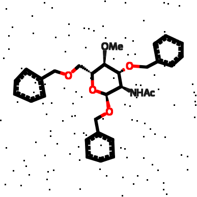 CO[C@H]1[C@H](OCc2ccccc2)[C@@H](NC(C)=O)[C@@H](OCc2ccccc2)O[C@@H]1COCc1ccccc1